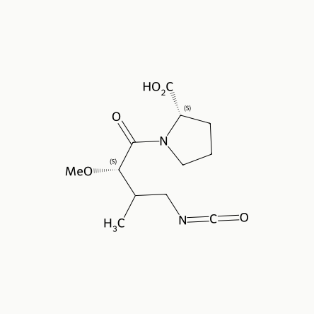 CO[C@H](C(=O)N1CCC[C@H]1C(=O)O)C(C)CN=C=O